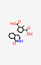 Cc1c(C(=O)O)cccc1C(=O)O.O=c1[nH]ccc2ccccc12